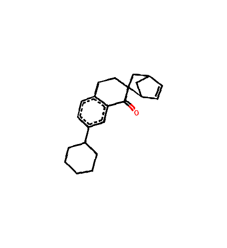 O=C1c2cc(C3CCCCC3)ccc2CCC12CC1C=CC2C1